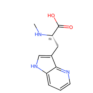 CN[C@@H](Cc1c[nH]c2cccnc12)C(=O)O